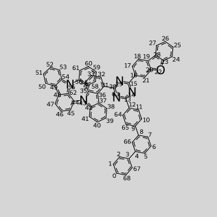 c1ccc(-c2cccc(-c3ccc(-c4nc(-c5ccc6c(c5)oc5ccccc56)nc(-c5cccc6c5c5ccccc5n6-c5cccc6c7ccccc7n(-c7ccccc7)c56)n4)cc3)c2)cc1